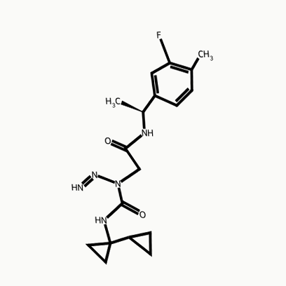 Cc1ccc([C@H](C)NC(=O)CN(N=N)C(=O)NC2(C3CC3)CC2)cc1F